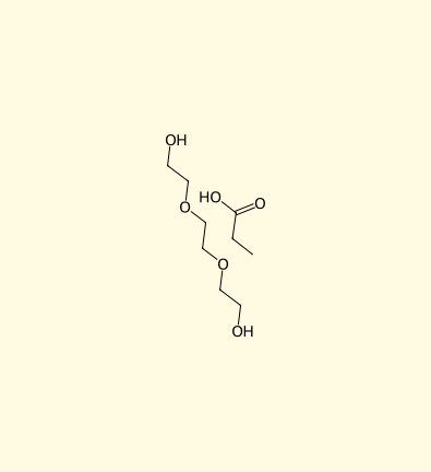 CCC(=O)O.OCCOCCOCCO